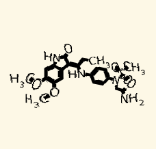 CCC(Nc1ccc(N(CC(N)=O)S(C)(=O)=O)cc1)=C1C(=O)Nc2cc(OC)c(OC)cc21